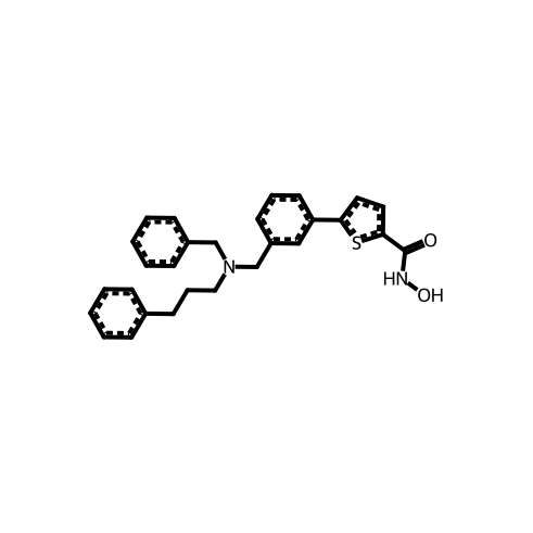 O=C(NO)c1ccc(-c2cccc(CN(CCCc3ccccc3)Cc3ccccc3)c2)s1